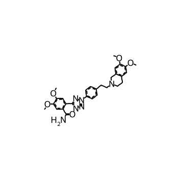 COc1cc2c(cc1OC)CN(CCc1ccc(-n3nnc(-c4cc(OC)c(OC)cc4C(N)=O)n3)cc1)CC2